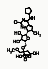 COCC(CC(=O)O)(OC[C@H]1O[C@@H](C2C(C)C=C3C(NC4CCCC4)=NC(Cl)=NN32)[C@H](O)[C@@H]1O)P(=O)(O)O